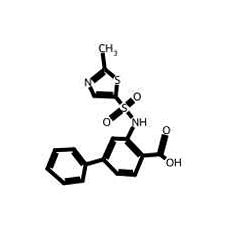 Cc1ncc(S(=O)(=O)Nc2cc(-c3ccccc3)ccc2C(=O)O)s1